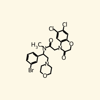 CN(C(=O)CN1C(=O)COc2cc(Cl)c(Cl)cc21)C(CN1CCOCC1)c1cccc(Br)c1